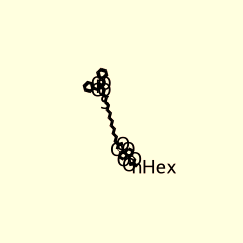 CCCCCCC(=O)O[C@@H]1COC2C1OC[C@@H]2OC(=O)CCCCCCCCCCSCCOP(=O)(Oc1ccccc1)Oc1ccccc1